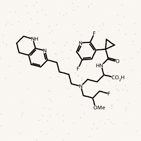 COC(CF)CN(CCCCc1ccc2c(n1)NCCC2)CCC(NC(=O)C1(c2cc(F)cnc2F)CC1)C(=O)O